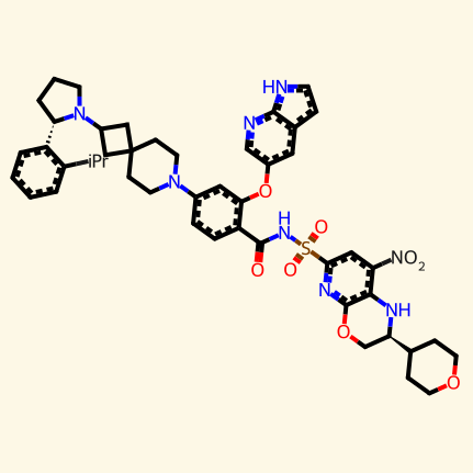 CC(C)c1ccccc1[C@@H]1CCCN1C1CC2(CCN(c3ccc(C(=O)NS(=O)(=O)c4cc([N+](=O)[O-])c5c(n4)OC[C@H](C4CCOCC4)N5)c(Oc4cnc5[nH]ccc5c4)c3)CC2)C1